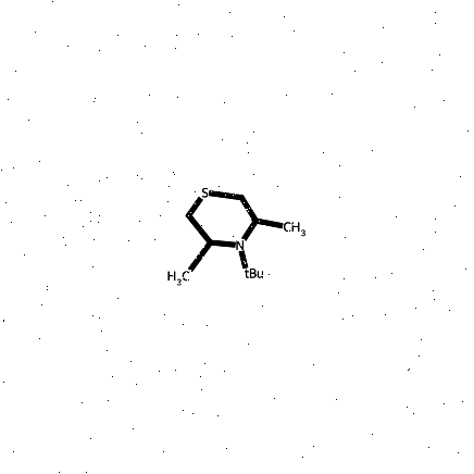 CC1CSCC(C)N1C(C)(C)C